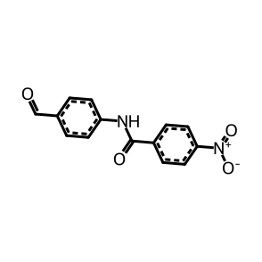 O=Cc1ccc(NC(=O)c2ccc([N+](=O)[O-])cc2)cc1